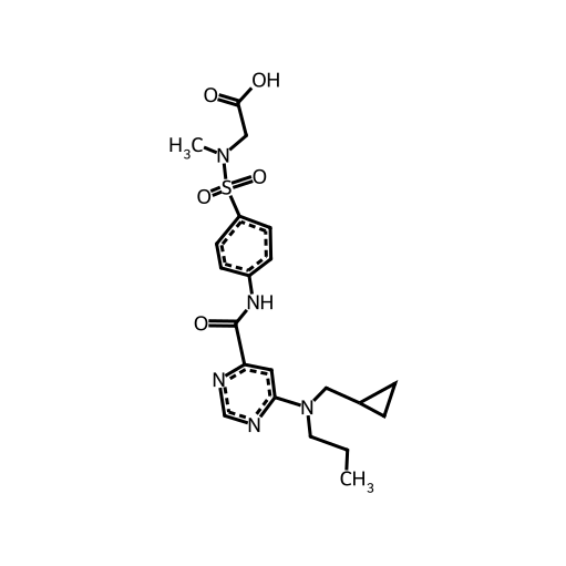 CCCN(CC1CC1)c1cc(C(=O)Nc2ccc(S(=O)(=O)N(C)CC(=O)O)cc2)ncn1